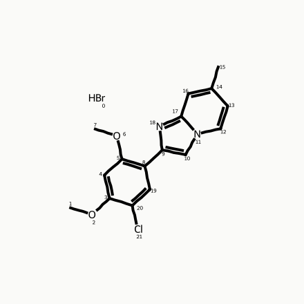 Br.COc1cc(OC)c(-c2cn3ccc(C)cc3n2)cc1Cl